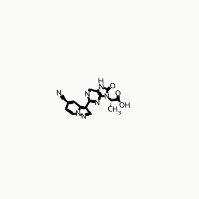 C[C@@H](C(=O)O)n1c(=O)[nH]c2cnc(-c3cnn4ccc(C#N)cc34)nc21